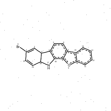 BrC1=CC2c3ccc4c(oc5ccccc54)c3NC2C=C1